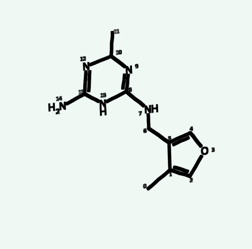 Cc1cocc1CNC1=NC(C)N=C(N)N1